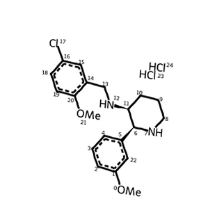 COc1cccc([C@@H]2NCCC[C@@H]2NCc2cc(Cl)ccc2OC)c1.Cl.Cl